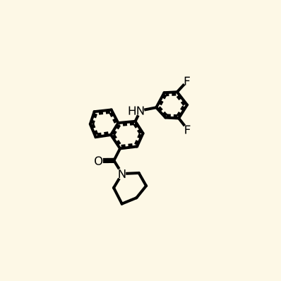 O=C(c1ccc(Nc2cc(F)cc(F)c2)c2ccccc12)N1CCCCC1